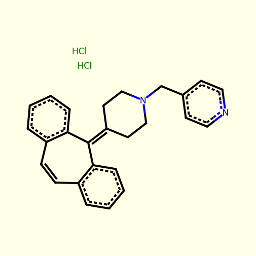 C1=Cc2ccccc2C(=C2CCN(Cc3ccncc3)CC2)c2ccccc21.Cl.Cl